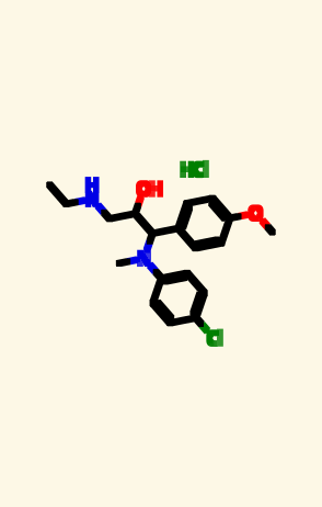 CCNCC(O)C(c1ccc(OC)cc1)N(C)c1ccc(Cl)cc1.Cl